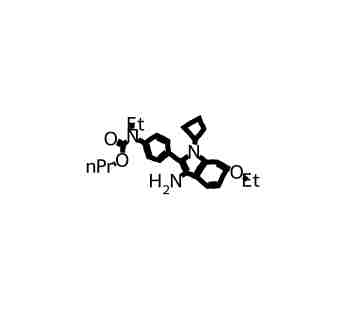 CCCOC(=O)N(CC)c1ccc(-c2c(N)c3ccc(OCC)cc3n2C2CCC2)cc1